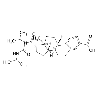 CC(C)NC(=O)N(C(=O)[C@H]1CC[C@H]2[C@@H]3CCc4cc(C(=O)O)ccc4[C@H]3CC[C@]12C)C(C)C